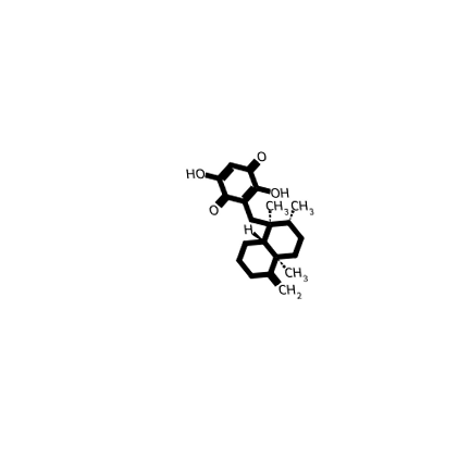 C=C1CCC[C@@H]2[C@@](C)(CC3=C(O)C(=O)C=C(O)C3=O)[C@H](C)CC[C@@]12C